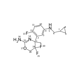 CC1(c2cc(NCC3CC3)ccc2F)N=C(N)OCC1(F)F